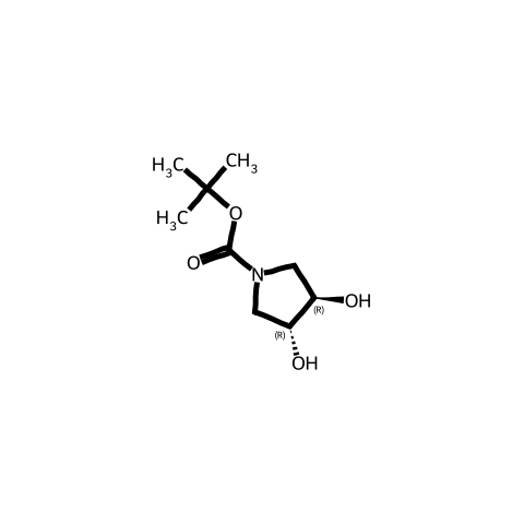 CC(C)(C)OC(=O)N1C[C@@H](O)[C@H](O)C1